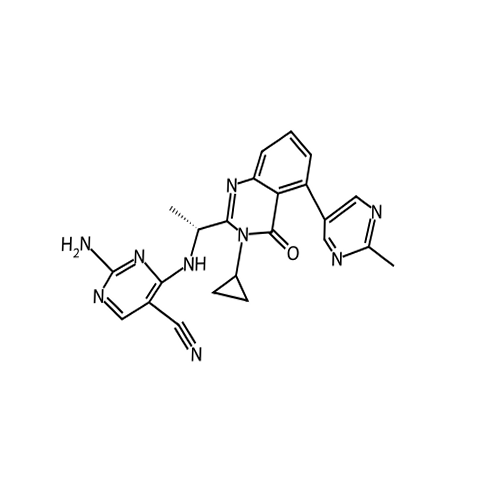 Cc1ncc(-c2cccc3nc([C@@H](C)Nc4nc(N)ncc4C#N)n(C4CC4)c(=O)c23)cn1